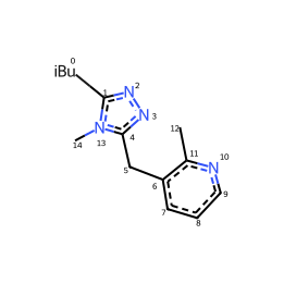 CCC(C)c1nnc(Cc2cccnc2C)n1C